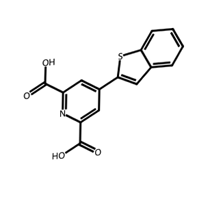 O=C(O)c1cc(-c2cc3ccccc3s2)cc(C(=O)O)n1